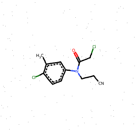 Cc1cc(N(CCC#N)C(=O)CCl)ccc1Cl